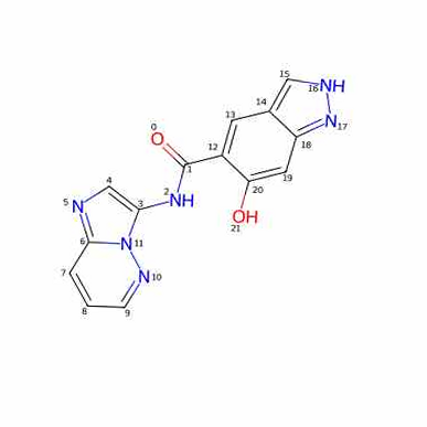 O=C(Nc1cnc2cccnn12)c1cc2c[nH]nc2cc1O